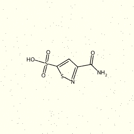 NC(=O)c1cc(S(=O)(=O)O)sn1